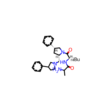 CC[C@H](C)[C@@H](NC(=O)C(C)N)C(=O)N1C[C@@H](c2ccccc2)C[C@H]1CN1CCC(c2ccccc2)C1